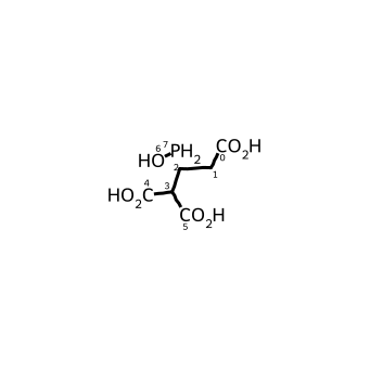 O=C(O)CCC(C(=O)O)C(=O)O.OP